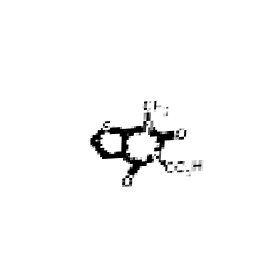 Cn1c(=O)n(C(=O)O)c(=O)c2ccsc21